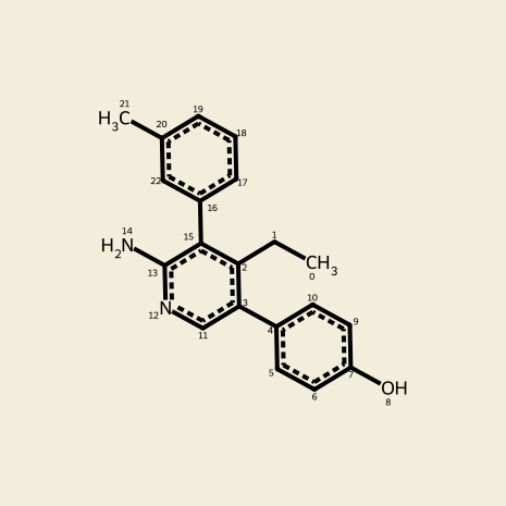 CCc1c(-c2ccc(O)cc2)cnc(N)c1-c1cccc(C)c1